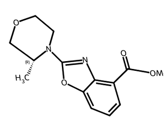 COC(=O)c1cccc2oc(N3CCOC[C@H]3C)nc12